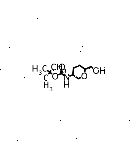 CC(C)(C)OC(=O)NC1CCC(CO)OC1